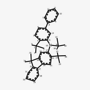 CC(C)(C)c1ccc(-c2ccccc2)cc1N(c1cc2c(cc1C(C)(C)C)-c1ccccc1C2(C)C)C(C)(C)C